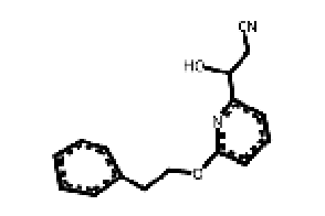 N#CCC(O)c1cccc(OCCc2ccccc2)n1